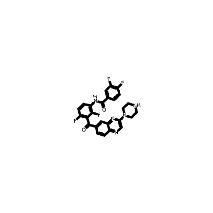 O=C(Nc1ccc(F)c(C(=O)c2ccc3ncc(N4CCNCC4)nc3c2)c1F)c1ccc(F)c(F)c1